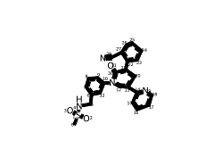 CS(=O)(=O)NCc1cccc(-n2cc(-c3ccccn3)cc(-c3ccccc3C#N)c2=O)c1